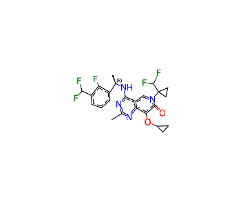 Cc1nc(N[C@H](C)c2cccc(C(F)F)c2F)c2cn(C3(C(F)F)CC3)c(=O)c(OC3CC3)c2n1